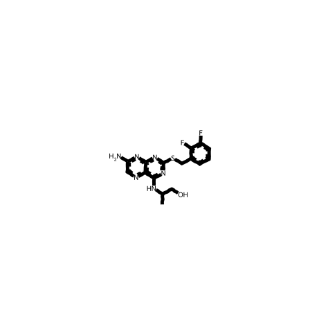 CC(CO)Nc1nc(SCc2cccc(F)c2F)nc2nc(N)cnc12